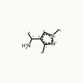 Cc1nn(C)cc1C(C)N